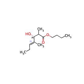 CC/C=C(\C)[C@H](O)C(C)C(=O)OCCCC